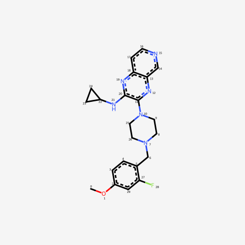 COc1ccc(CN2CCN(c3nc4cnccc4nc3NC3CC3)CC2)c(F)c1